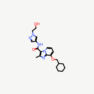 Cc1nc2c(OCC3CCCCC3)cccn2c1C(=O)Nc1cnn(CCO)c1